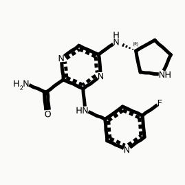 NC(=O)c1ncc(N[C@@H]2CCNC2)nc1Nc1cncc(F)c1